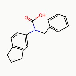 O=C(O)N(Cc1ccccc1)c1ccc2c(c1)CCC2